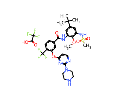 COc1c(NC(=O)c2ccc(C(F)(F)F)c(Oc3ccnc(N4CCNCC4)n3)c2)cc(C(C)(C)C)cc1NS(C)(=O)=O.O=C(O)C(F)(F)F